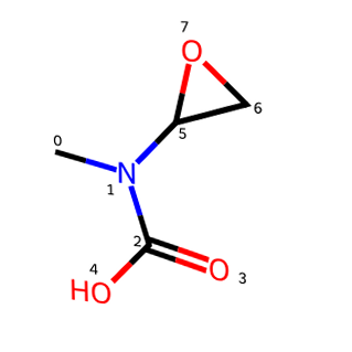 CN(C(=O)O)C1CO1